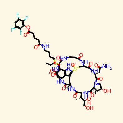 CC[C@H](C)C1NC(=O)CNC(=O)[C@@H]2Cc3c([nH]c4c(CSCCCCNC(=O)CCCC(=O)Oc5c(F)c(F)cc(F)c5F)c(OC)ccc34)[S+]([O-])CC(NC(=O)CCNC1=O)C(=O)N[C@@H](CC(N)=O)C(=O)N1C[C@H](O)C[C@H]1C(=O)N[C@@H]([C@@H](C)[C@@H](O)CO)C(=O)N2